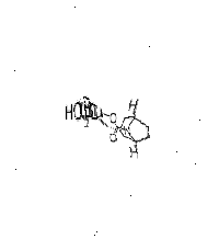 CC(C)(C)OC(=O)N1[C@@H]2CC[C@H]1C[C@@H](CC(=O)O)C2